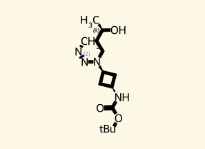 C/N=N\N(CC[C@@H](C)O)[C@H]1C[C@H](NC(=O)OC(C)(C)C)C1